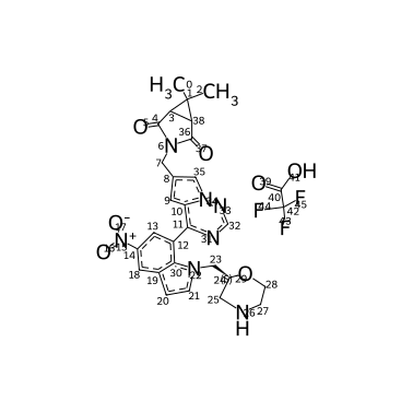 CC1(C)C2C(=O)N(Cc3cc4c(-c5cc([N+](=O)[O-])cc6ccn(C[C@@H]7CNCCO7)c56)ncnn4c3)C(=O)C21.O=C(O)C(F)(F)F